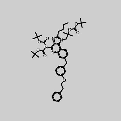 CCCCc1nc2c(N(C(=O)OC(C)(C)C)C(=O)OC(C)(C)C)nc3cc(Cc4cccc(OCCc5ccccc5)c4)ccc3c2n1CC(C)(C)OC(=O)OC(C)(C)C